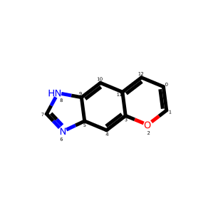 C1=COC2=CC3N=CNC3=CC2=C1